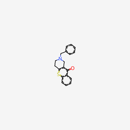 O=c1c2c(sc3ccccc13)CCN(Cc1ccccc1)C2